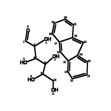 O=CC(O)C(O)C(O)C(O)CO.c1ccc2cc3ccccc3cc2c1